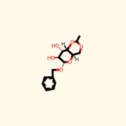 CC1OC[C@H]2O[C@H](OCc3ccccc3)[C@@H](O)[C@H](O)[C@@H]2O1